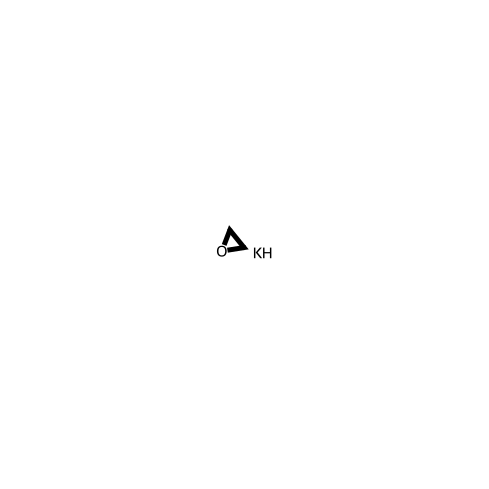 C1CO1.[KH]